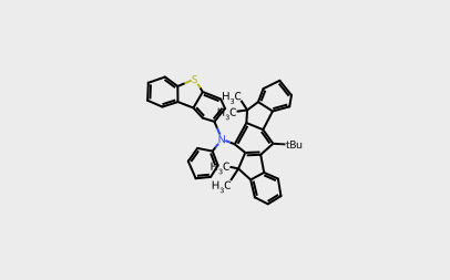 CC(C)(C)c1c2c(c(N(c3ccccc3)c3ccc4sc5ccccc5c4c3)c3c1-c1ccccc1C3(C)C)C(C)(C)c1ccccc1-2